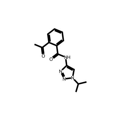 CC(=O)c1ccccc1C(=O)Nc1cn(C(C)C)nn1